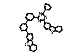 c1ccc(-c2nc(-c3cccc(-c4cccc(-c5ccc6c(c5)oc5ccccc56)c4)c3)nc(-c3ccc4sc5ccccc5c4c3)n2)cc1